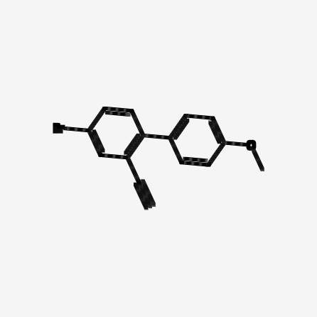 C#Cc1cc(Br)ccc1-c1ccc(OC)cc1